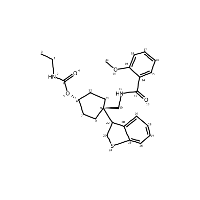 CCNC(=O)O[C@H]1CC[C@@](CNC(=O)c2ccccc2OC)(C2CSc3ccccc32)CC1